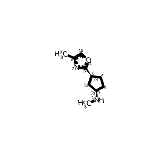 CN[C@@H]1CC[C@H](c2nc(C)co2)C1